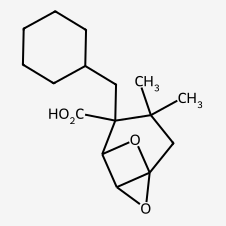 CC1(C)CC23OC2C(O3)C1(CC1CCCCC1)C(=O)O